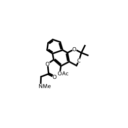 CNCC(=O)Oc1c(OC(C)=O)c2c(c3ccccc13)OC(C)(C)CC2